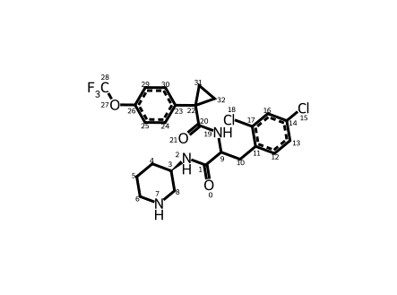 O=C(N[C@@H]1CCCNC1)C(Cc1ccc(Cl)cc1Cl)NC(=O)C1(c2ccc(OC(F)(F)F)cc2)CC1